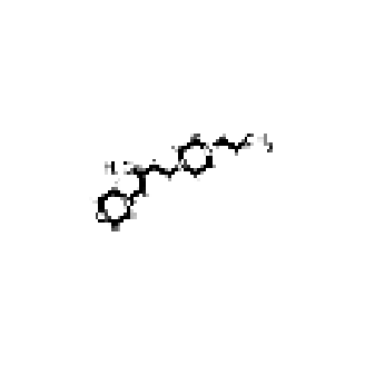 CCCN1CCN(CCC(C)CN2CCOCC2)CC1